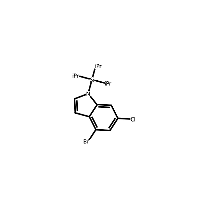 CC(C)[Si](C(C)C)(C(C)C)n1ccc2c(Br)cc(Cl)cc21